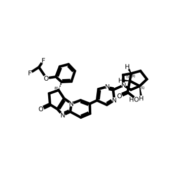 O=C1C[C@H](c2ccccc2OC(F)F)c2c1nc1ccc(-c3cnc(N4C[C@H]5CC[C@@H](C4)[C@H]5C(=O)O)nc3)cn21